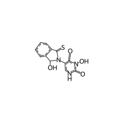 O=c1[nH]cc(N2C(=S)c3ccccc3C2O)c(=O)n1O